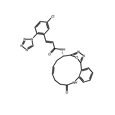 O=C(C=Cc1cc(Cl)ccc1-n1cnnn1)N[C@H]1CC=CCCC(=O)Nc2ccccc2-c2nnc1o2